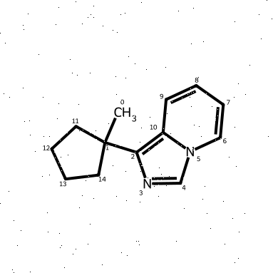 CC1(c2ncn3ccccc23)CCCC1